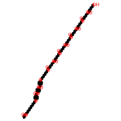 C=CC(=O)OCCCCCCCCCCCOc1ccc(C(=O)Oc2ccc(OC(=O)c3ccc(OCCCCCCCCOC(=O)CCCCCOC(=O)CCCCCOC(=O)CCCCCOC(=O)CCCCCOC(=O)CCCCCOC(=O)CCCCCOC(=O)CCCCCOC(=O)CCCCCO)cc3)cc2)cc1